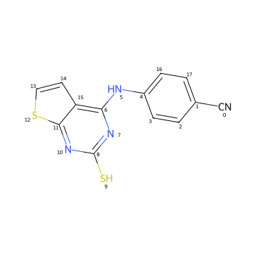 N#Cc1ccc(Nc2nc(S)nc3sccc23)cc1